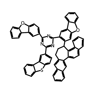 c1ccc2cc3c(cc2c1)CCC(c1cc2oc4ccccc4c2cc1-c1nc(-c2ccc4oc5ccccc5c4c2)nc(-c2ccc4sc5ccccc5c4c2)n1)c1c-3ccc2ccccc12